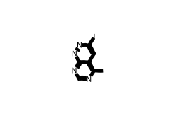 Cc1ncnc2nnc(I)cc12